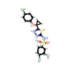 O=S(=O)(Nc1nnc(C2(Oc3ccc(Cl)cc3)CC2)s1)c1ccc(Cl)c(Cl)c1